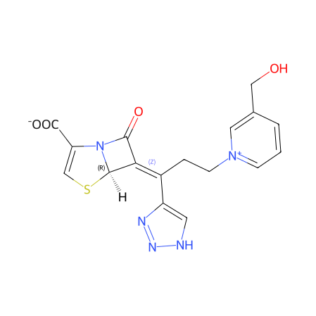 O=C([O-])C1=CS[C@@H]2/C(=C(/CC[n+]3cccc(CO)c3)c3c[nH]nn3)C(=O)N12